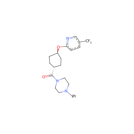 CC(C)N1CCN(C(=O)[C@H]2CC[C@H](Oc3ccc(C(F)(F)F)cn3)CC2)CC1